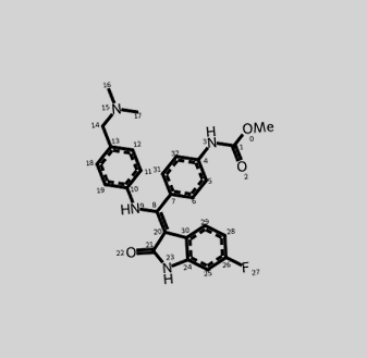 COC(=O)Nc1ccc(/C(Nc2ccc(CN(C)C)cc2)=C2/C(=O)Nc3cc(F)ccc32)cc1